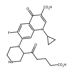 O=C(O)CCCC(=O)C1CNCCN1c1cc2c(cc1F)c(=O)c(C(=O)O)cn2C1CC1